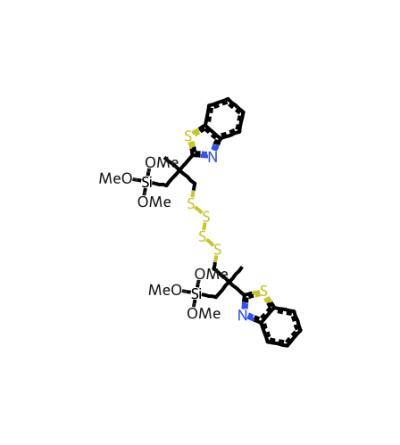 CO[Si](CC(C)(CSSSSCC(C)(C[Si](OC)(OC)OC)c1nc2ccccc2s1)c1nc2ccccc2s1)(OC)OC